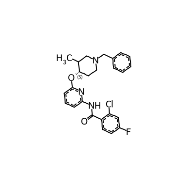 CC1CN(Cc2ccccc2)CC[C@@H]1Oc1cccc(NC(=O)c2ccc(F)cc2Cl)n1